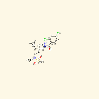 CCCS(=O)(=O)N(C)CCC(C)(CNC(=O)c1ccc(Cl)cc1Cl)CC1CC1